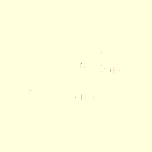 CC(C)(C)OC(=O)CN1CCC(c2cc(C(F)(F)F)ccc2C=O)CC1